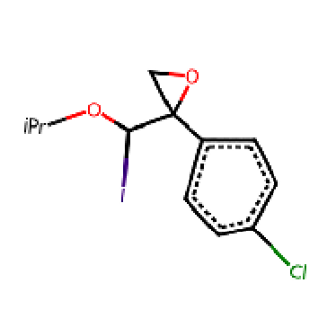 CC(C)OC(I)C1(c2ccc(Cl)cc2)CO1